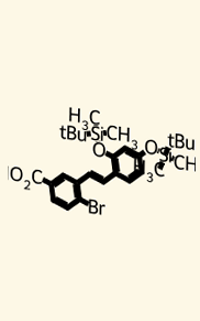 CC(C)(C)[Si](C)(C)Oc1ccc(C=Cc2cc(C(=O)O)ccc2Br)c(O[Si](C)(C)C(C)(C)C)c1